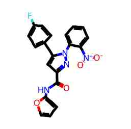 O=C(Nc1ccco1)c1cc(-c2ccc(F)cc2)n(-c2ccccc2[N+](=O)[O-])n1